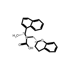 C[C@H](c1cccc2ccccc12)N(C[C@H]1CCc2ccccc2O1)C(=O)O